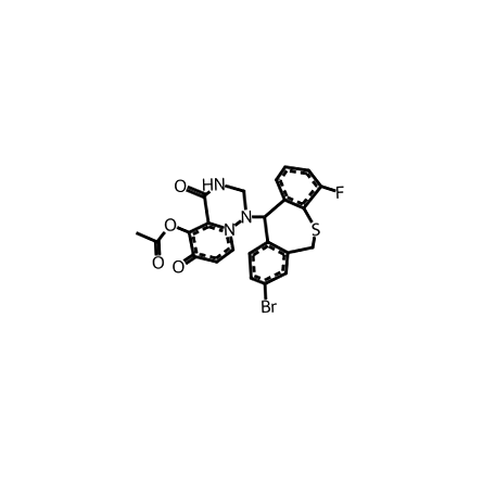 CC(=O)Oc1c2n(ccc1=O)N(C1c3ccc(Br)cc3CSc3c(F)cccc31)CNC2=O